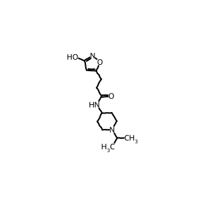 CC(C)N1CCC(NC(=O)CCc2cc(O)no2)CC1